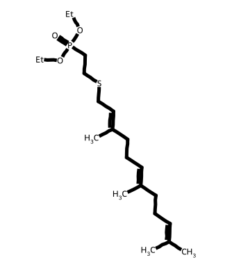 CCOP(=O)(CCSC/C=C(\C)CC/C=C(\C)CCC=C(C)C)OCC